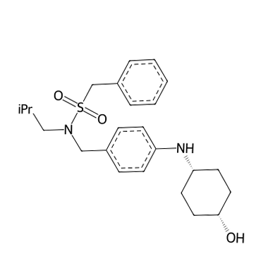 CC(C)CN(Cc1ccc(N[C@H]2CC[C@@H](O)CC2)cc1)S(=O)(=O)Cc1ccccc1